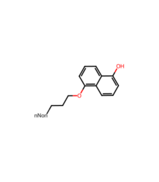 CCCCCCCCCCCCOc1cccc2c(O)cccc12